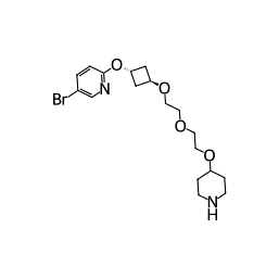 Brc1ccc(O[C@H]2C[C@H](OCCOCCOC3CCNCC3)C2)nc1